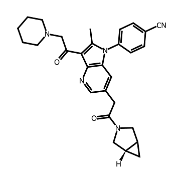 Cc1c(C(=O)CN2CCCCC2)c2ncc(CC(=O)N3CC4C[C@@H]4C3)cc2n1-c1ccc(C#N)cc1